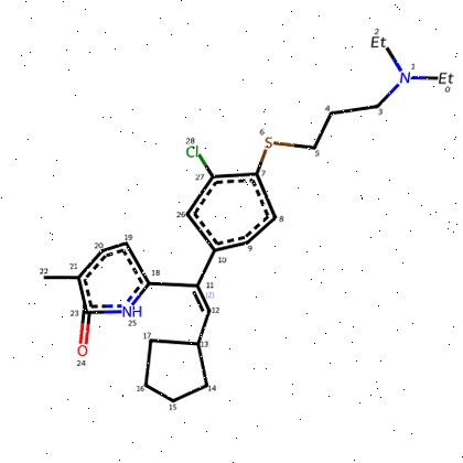 CCN(CC)CCCSc1ccc(/C(=C/C2CCCC2)c2ccc(C)c(=O)[nH]2)cc1Cl